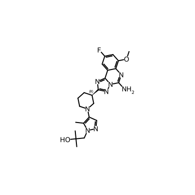 COc1cc(F)cc2c1nc(N)n1nc([C@@H]3CCCN(c4cnn(CC(C)(C)O)c4C)C3)nc21